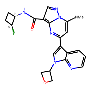 CNc1cc(-c2cn(C3COC3)c3ncccc23)nc2c(C(=O)N[C@H]3CC[C@@H]3F)cnn12